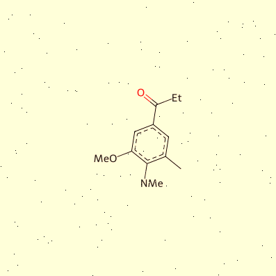 CCC(=O)c1cc(C)c(NC)c(OC)c1